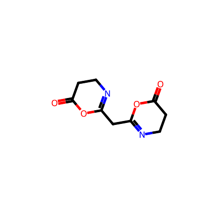 O=C1CCN=C(CC2=NCCC(=O)O2)O1